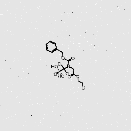 O=C(CN(C(=O)OCc1ccccc1)C(Cl)(Cl)P(=O)(O)O)OCCCl